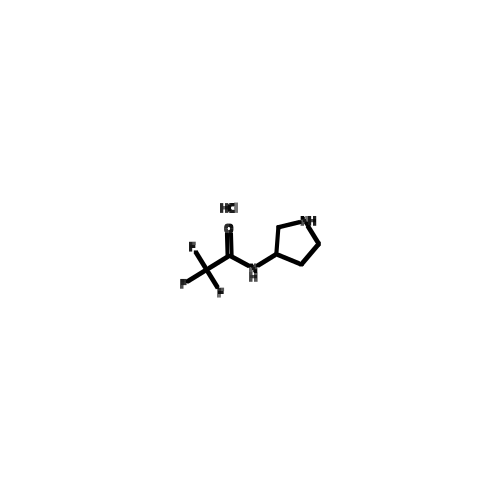 Cl.O=C(NC1CCNC1)C(F)(F)F